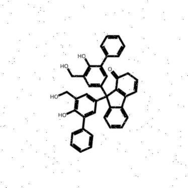 O=C1CC=CC2=C1C(c1cc(CO)c(O)c(-c3ccccc3)c1)(c1cc(CO)c(O)c(-c3ccccc3)c1)c1ccccc12